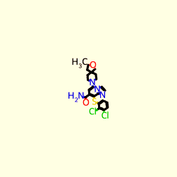 C[C@H]1CC2(CCN(c3cc(C(N)=O)c(Sc4cccc(Cl)c4Cl)c4nccn34)CC2)CO1